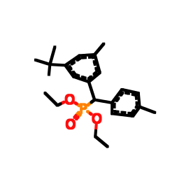 CCOP(=O)(OCC)C(c1ccc(C)cc1)c1cc(C)cc(C(C)(C)C)c1